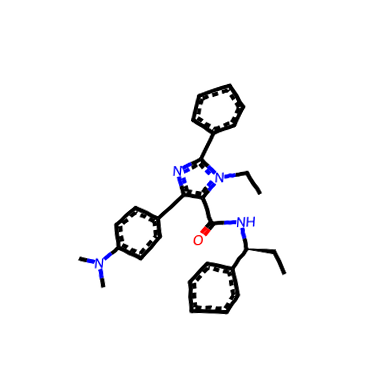 CC[C@H](NC(=O)c1c(-c2ccc(N(C)C)cc2)nc(-c2ccccc2)n1CC)c1ccccc1